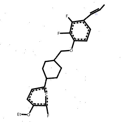 C/C=C/c1ccc(OCC2CCC(c3ccc(OCC)c(F)c3)CC2)c(F)c1F